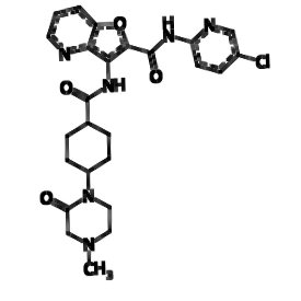 CN1CCN(C2CCC(C(=O)Nc3c(C(=O)Nc4ccc(Cl)cn4)oc4cccnc34)CC2)C(=O)C1